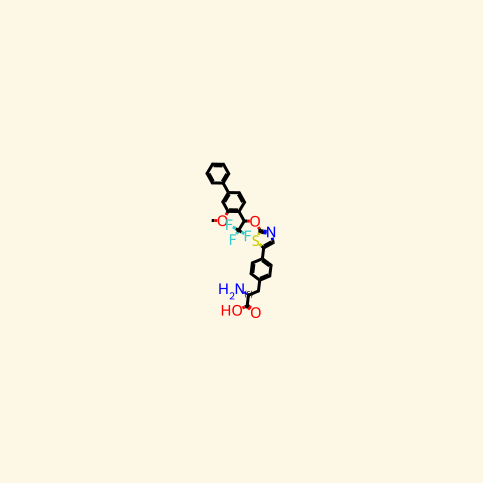 COc1cc(-c2ccccc2)ccc1C(Oc1ncc(-c2ccc(C[C@H](N)C(=O)O)cc2)s1)C(F)(F)F